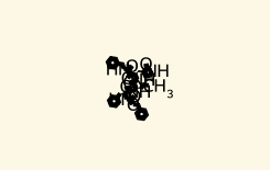 CCC[C@H](NC(=O)[C@@H](Cc1ccccc1)NC(=O)OCc1ccccc1)C(=O)N[C@@H](C[C@@H]1CCNC1=O)C(=O)C(=O)NCc1ccccc1